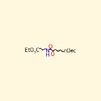 CCCCCCCCCCCCCCC(=O)C(=O)NCCCC(=O)OCC